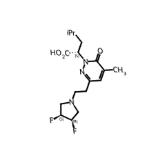 Cc1cc(CCN2C[C@@H](F)[C@@H](F)C2)nn([C@@H](CC(C)C)C(=O)O)c1=O